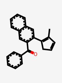 CC1=C(c2cc3ccccc3cc2C(=O)c2ccccc2)CC=C1